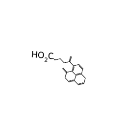 C=C(CCCC(=O)O)c1ccc2c3c1C(=C)CC=C3C=CC2